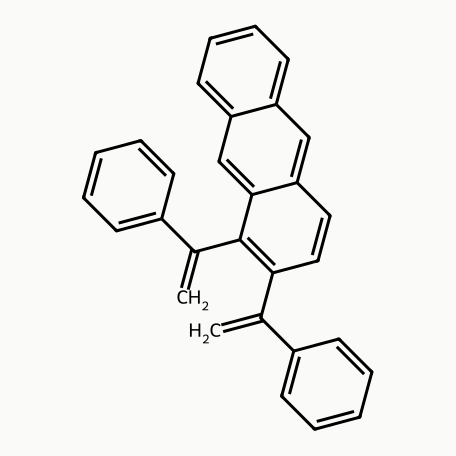 C=C(c1ccccc1)c1ccc2cc3ccccc3cc2c1C(=C)c1ccccc1